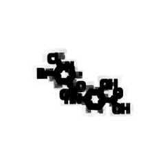 O=C(O)c1ccc(NS(=O)(=O)c2cnc(Cl)c(Br)c2)cc1O